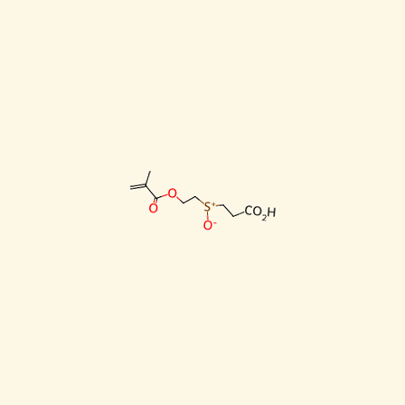 C=C(C)C(=O)OCC[S+]([O-])CCC(=O)O